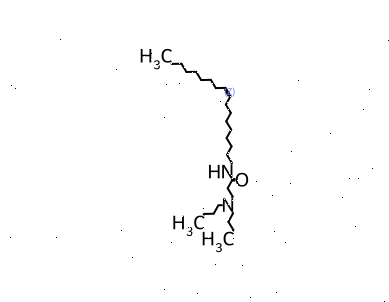 CCCCCCCC/C=C\CCCCCCCCNC(=O)CCN(CCCC)CCCC